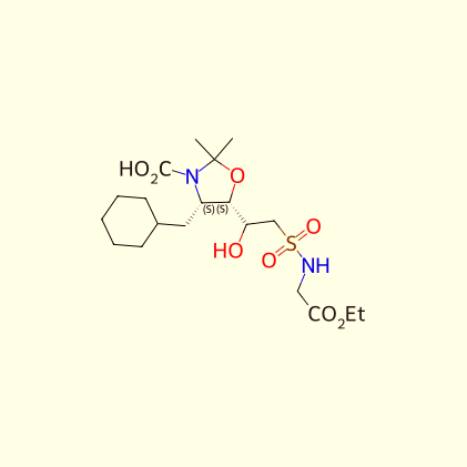 CCOC(=O)CNS(=O)(=O)CC(O)[C@H]1OC(C)(C)N(C(=O)O)[C@H]1CC1CCCCC1